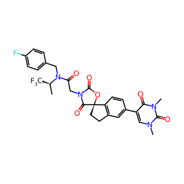 C[C@H](N(Cc1ccc(F)cc1)C(=O)CN1C(=O)O[C@@]2(CCc3cc(-c4cn(C)c(=O)n(C)c4=O)ccc32)C1=O)C(F)(F)F